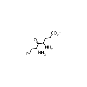 CC(C)C[C@@H](N)C(=O)C(N)CCC(=O)O